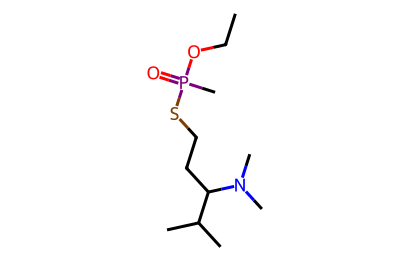 CCOP(C)(=O)SCCC(C(C)C)N(C)C